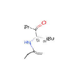 C=C(C)N[C@H](C(=O)C(C)C)[C@@H](C)CC